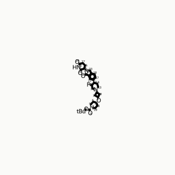 CC(C)(C)OC(=O)N1CCC(OC2CC(N3CC[C@H](c4ccc5c(c4)C(=O)N([C@@H]4CCC(=O)NC4=O)C5)[C@H](F)C3)C2)CC1